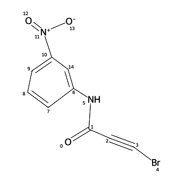 O=C(C#CBr)Nc1cccc([N+](=O)[O-])c1